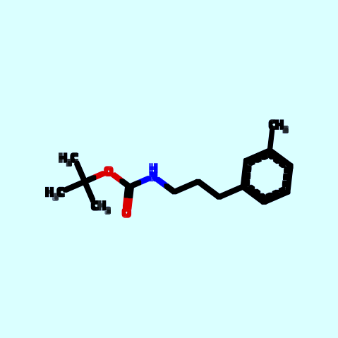 Cc1cccc(CCCNC(=O)OC(C)(C)C)c1